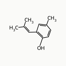 CC(C)=Cc1cc(C)ccc1O